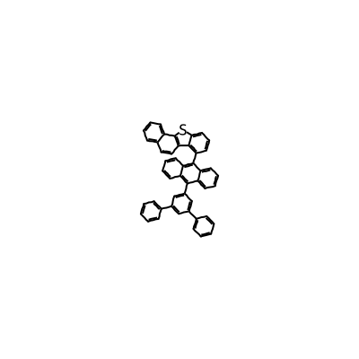 c1ccc(-c2cc(-c3ccccc3)cc(-c3c4ccccc4c(-c4cccc5sc6c7ccccc7ccc6c45)c4ccccc34)c2)cc1